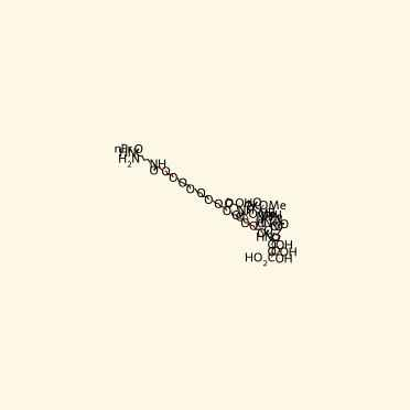 CCCNC(=O)[C@@H](N)CCCCNC(=O)CCOCCOCCOCCOCCOCCOCCOCCOCCOCCOCCOCCOC(=O)Nc1cc(COC(=O)N(C)[C@H](C(=O)N[C@H](C(=O)N(C)[C@@H]([C@@H](C)CC)[C@@H](CC(=O)N2CCC[C@H]2[C@H](OC)[C@@H](C)C(=O)N[C@H](C)[C@@H](O)c2ccccc2)OC)C(C)C)C(C)C)ccc1O[C@@H]1O[C@H](C(=O)O)[C@@H](O)[C@H](O)[C@H]1O